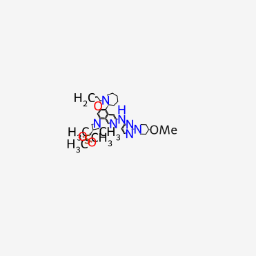 C=CC(=O)N1CCCCC[C@H]1c1ccc(N2C[C@H](C(C)(C)S(C)(=O)=O)[C@H]2C)c2cnc(Nc3ccnc(N4CCC(OC)CC4)n3)cc12